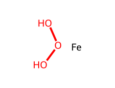 OOO.[Fe]